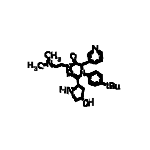 CN(C)CCNC(=O)C(c1cccnc1)N(C(=O)C1CC(O)CN1)c1ccc(C(C)(C)C)cc1